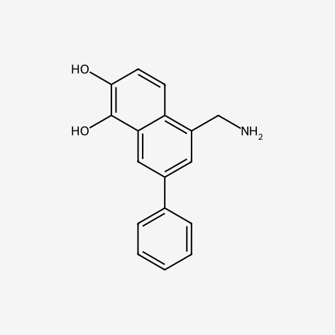 NCc1cc(-c2ccccc2)cc2c(O)c(O)ccc12